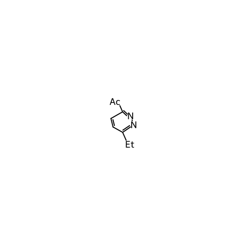 CCc1ccc(C(C)=O)nn1